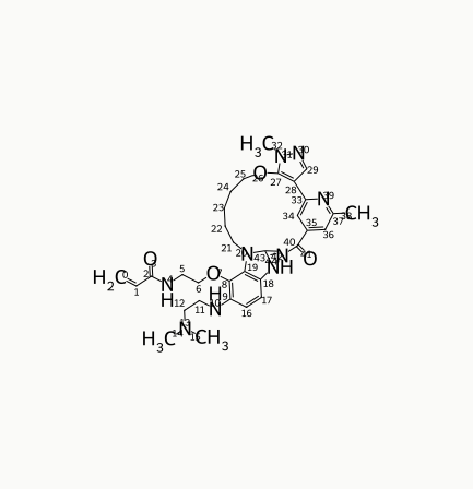 C=CC(=O)NCCOc1c(NCCN(C)C)ccc2c1N1CCCCCOc3c(cnn3C)-c3cc(cc(C)n3)C(=O)/N=C/1N2